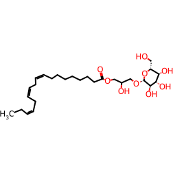 CC/C=C\C/C=C\C/C=C\CCCCCCCC(=O)OCC(O)CO[C@@H]1O[C@H](CO)[C@H](O)[C@H](O)[C@H]1O